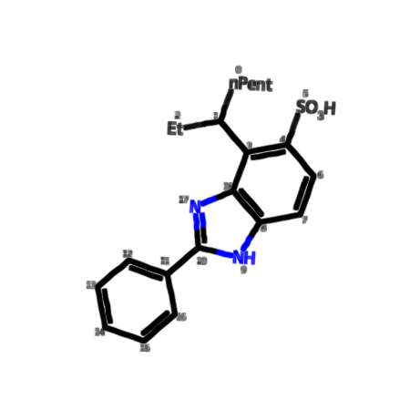 CCCCCC(CC)c1c(S(=O)(=O)O)ccc2[nH]c(-c3ccccc3)nc12